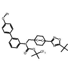 CC(C)Oc1ccc(-c2cccc(N(CC34CCC(c5noc(C(C)(C)F)n5)(CC3)CC4)C(=O)OC(C)(C)C(F)(F)F)c2)cc1